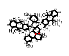 Cc1cc2c3c(c1)N(c1ccc(C(C)(C)C)cc1-c1ccccc1)c1cc4c(cc1B3c1cc(C(C)(C)C)ccc1N2c1cc2c(cc1C)C(C)(C)c1ccccc1C2(C)C)C(C)(C)c1ccccc1C4(C)C